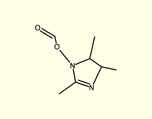 CC1=NC(C)C(C)N1OC=O